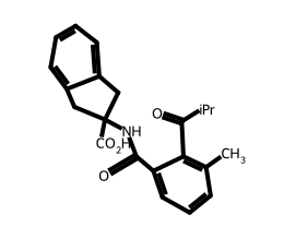 Cc1cccc(C(=O)NC2(C(=O)O)Cc3ccccc3C2)c1C(=O)C(C)C